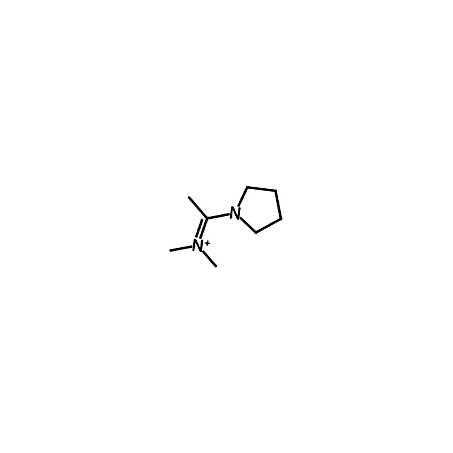 CC(N1CCCC1)=[N+](C)C